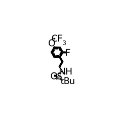 CC(C)(C)[S@+]([O-])NCCc1ccc(OC(F)(F)F)cc1F